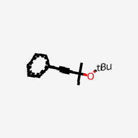 CC(C)(C)OC(C)(C)C#Cc1ccccc1